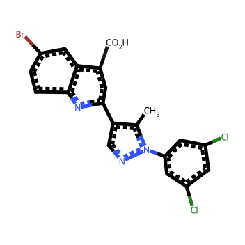 Cc1c(-c2cc(C(=O)O)c3cc(Br)ccc3n2)cnn1-c1cc(Cl)cc(Cl)c1